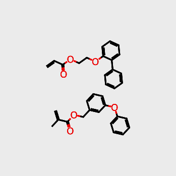 C=C(C)C(=O)OCc1cccc(Oc2ccccc2)c1.C=CC(=O)OCCOc1ccccc1-c1ccccc1